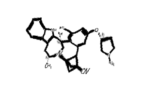 CCCCN1CC[C@@H](Oc2cc(F)c3c(c2)C2C4(C#N)CC2(C4)N2[C@H]3c3[nH]c4ccccc4c3C[C@H]2C)C1